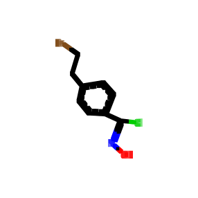 ON=C(Cl)c1ccc(CCBr)cc1